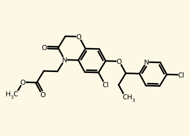 CCC(Oc1cc2c(cc1Cl)N(CCC(=O)OC)C(=O)CO2)c1ccc(Cl)cn1